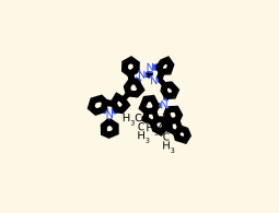 CC1(C)c2ccccc2-c2ccc(N(c3cccc(-c4nc(-n5c6ccccc6c6cc(-c7ccc8c(c7)c7ccccc7n8-c7ccccc7)ccc65)nc5ccccc45)c3)c3cccc4c3-c3ccccc3C4(C)C)cc21